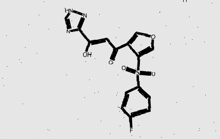 O=C(C=C(O)c1nc[nH]n1)c1cocc1S(=O)(=O)c1ccc(F)cc1